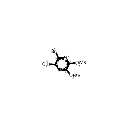 COc1cc([N+](=O)[O-])c(Br)nc1OC